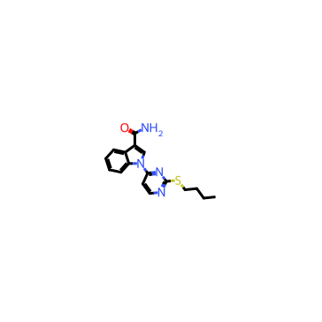 CCCCSc1nccc(-n2cc(C(N)=O)c3ccccc32)n1